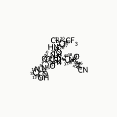 C[C@H]1OC2(CCN(C(=O)c3ncccc3O)CC2)c2c1n(CC(=O)Nc1ccc(C(F)(F)F)cc1Cl)c1nc(C3=CCN(C(=O)C45CC(C#N)(C4)C5)CC3)nn1c2=O